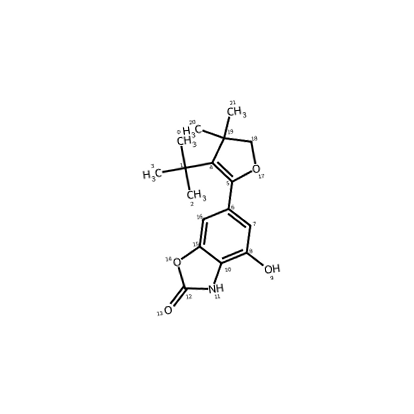 CC(C)(C)C1=C(c2cc(O)c3[nH]c(=O)oc3c2)OCC1(C)C